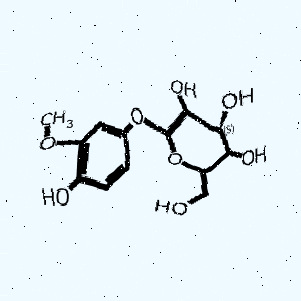 COc1cc(OC2OC(CO)C(O)[C@H](O)C2O)ccc1O